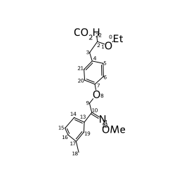 CCOC(Cc1ccc(OCC(=NOC)c2cccc(C)c2)cc1)C(=O)O